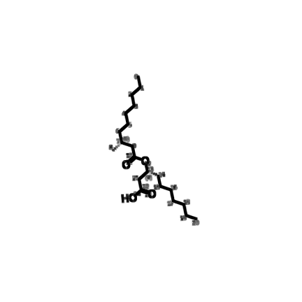 CCCCCCC[C@@H](C)CC(=O)O[C@H](CCCCCCC)CC(=O)O